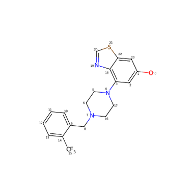 [O]c1cc(N2CCN(Cc3ccccc3C(F)(F)F)CC2)c2ncsc2c1